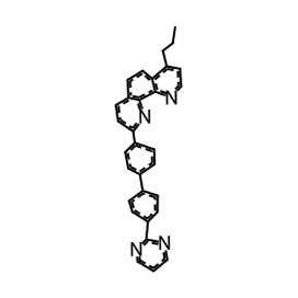 CCCc1ccnc2c1ccc1ccc(-c3ccc(-c4ccc(-c5ncccn5)cc4)cc3)nc12